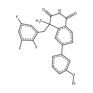 CCOc1cccc(-c2ccc3c(c2)C(C)(Cc2cc(F)cc(F)c2F)C(=O)NC3=O)c1